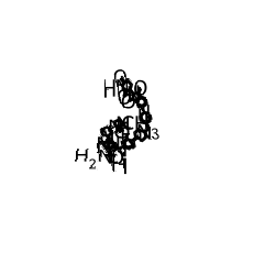 CN1CCN([C@@H]2CCCN(c3nnc(C(N)=O)c(Nc4ccc(C5CCN(CC6CCN(c7ccc8c(c7)C(=O)N(C7CCC(=O)NC7=O)C8=O)CC6)CC5)c(F)c4)n3)C2)C1=O